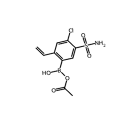 C=Cc1cc(Cl)c(S(N)(=O)=O)cc1B(O)OC(C)=O